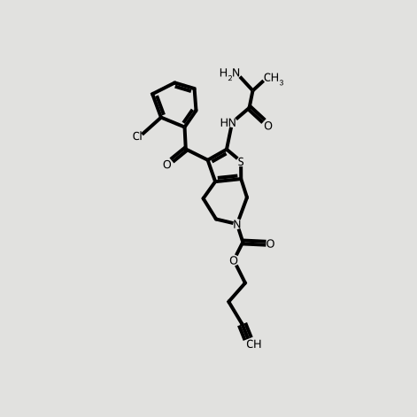 C#CCCOC(=O)N1CCc2c(sc(NC(=O)C(C)N)c2C(=O)c2ccccc2Cl)C1